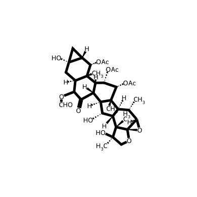 CC(=O)O[C@H]1[C@H]2[C@@H](C(=O)C(OC=O)[C@H]3C[C@@]4(O)C[C@@H]4[C@H](OC(C)=O)[C@]23C)[C@@H]2[C@@H](O)[C@@H]3[C@H]([C@H](C)[C@H]4O[C@]45OC[C@@](C)(O)[C@]35C)[C@@]2(C)[C@H]1OC(C)=O